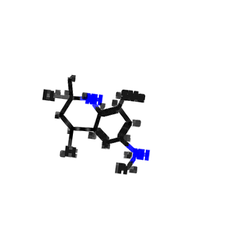 CCC1CC(C)(CC)Nc2c(SC)cc(NC(C)C)cc21